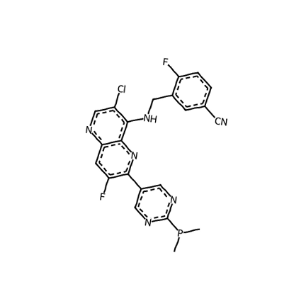 CP(C)c1ncc(-c2nc3c(NCc4cc(C#N)ccc4F)c(Cl)cnc3cc2F)cn1